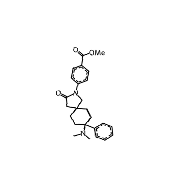 COC(=O)c1ccc(N2CC3(CCC(c4ccccc4)(N(C)C)CC3)CC2=O)cc1